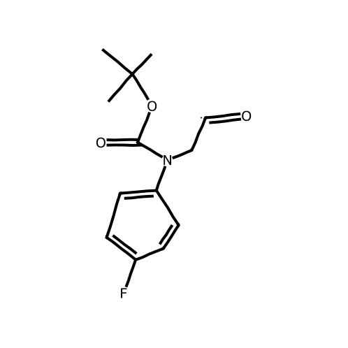 CC(C)(C)OC(=O)N(C[C]=O)c1ccc(F)cc1